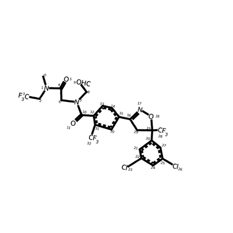 CN(CC(F)(F)F)C(=O)CN(CC=O)C(=O)c1ccc(C2=NOC(c3cc(Cl)cc(Cl)c3)(C(F)(F)F)C2)cc1C(F)(F)F